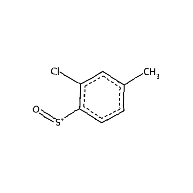 Cc1ccc([S+]=O)c(Cl)c1